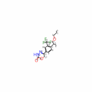 CCCOCC(C)c1ccc(C2=NNC(=O)OC2)cc1C(F)(F)F